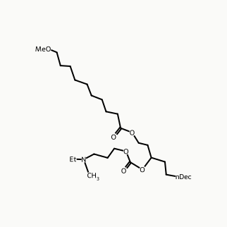 CCCCCCCCCCCCC(CCOC(=O)CCCCCCCCCOC)OC(=O)OCCCN(C)CC